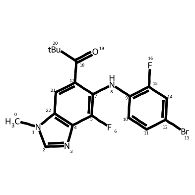 Cn1cnc2c(F)c(Nc3ccc(Br)cc3F)c(C(=O)C(C)(C)C)cc21